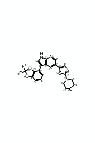 FC1(F)Oc2cccc(-c3c[nH]c4ncc(-c5cnc(N6CCOCC6)s5)cc34)c2O1